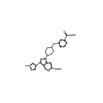 CNC(=O)c1cccc(OC2CCC(n3nc(-c4cnn(C)c4)c4cnc(NC)cc43)CC2)c1